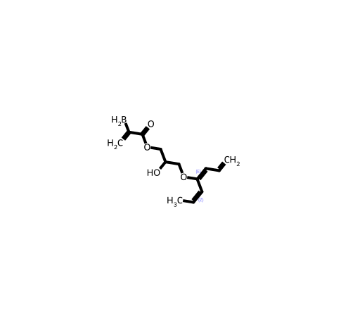 BC(=C)C(=O)OCC(O)COC(/C=C\C)=C/C=C